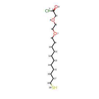 O=C(Cl)COCCOCCCCCCCCCCCS